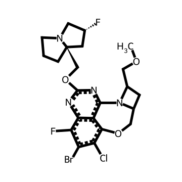 COCC1CC2COc3c(Cl)c(Br)c(F)c4nc(OC[C@@]56CCCN5C[C@H](F)C6)nc(c34)N12